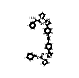 N[C@@H](C(=O)N1CCC[C@H]1c1ncc(-c2ccc(C#Cc3ccc(-c4cnc([C@@H]5CCCN5C(=O)OCc5ccccc5)[nH]4)cc3)cc2)[nH]1)c1ccccc1